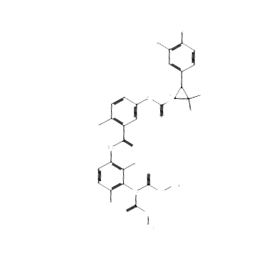 CC(C)(C)OC(=O)N(C(=O)OC(C)(C)C)c1c(F)ccc(NC(=O)c2cc(NC(=O)[C@H]3C(c4ccc(Cl)c(Cl)c4)C3(Cl)Cl)ccc2Cl)c1F